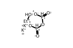 CCO.O=[PH]([O-])O[PH](=O)[O-].[K+].[K+]